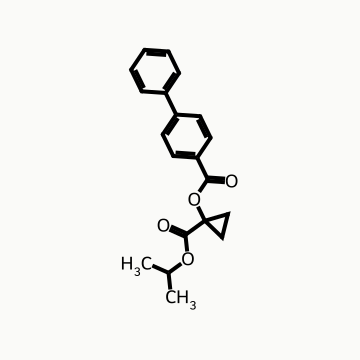 CC(C)OC(=O)C1(OC(=O)c2ccc(-c3ccccc3)cc2)CC1